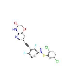 O=C1COc2cc(C#Cc3c(F)ccc(NSc4cc(Cl)ccc4Cl)c3F)cnc2N1